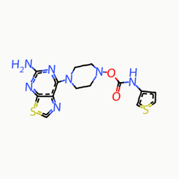 Nc1nc(N2CCN(OC(=O)Nc3ccsc3)CC2)c2ncsc2n1